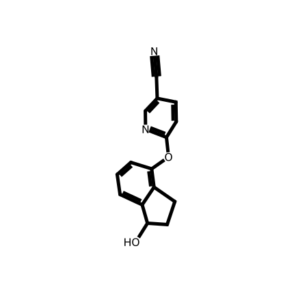 N#Cc1ccc(Oc2cccc3c2CCC3O)nc1